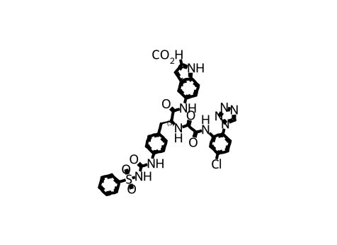 O=C(Nc1ccc(C[C@H](NC(=O)C(=O)Nc2cc(Cl)ccc2-n2cnnn2)C(=O)Nc2ccc3[nH]c(C(=O)O)cc3c2)cc1)NS(=O)(=O)c1ccccc1